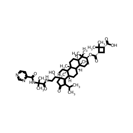 CC(C)C1=C2[C@H]3CC[C@@H]4[C@@]5(C)CC[C@H](OC(=O)[C@H]6C[C@@H](C(=O)O)C6(C)C)C(C)(C)[C@@H]5CC[C@@]4(C)[C@]3(C)CC[C@@]2([C@@H](O)CNC(=O)C(C)(C)NC(=O)c2ccncn2)CC1=O